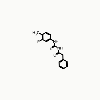 Cc1ccc(NC(=S)NC(=O)Cc2ccccc2)cc1F